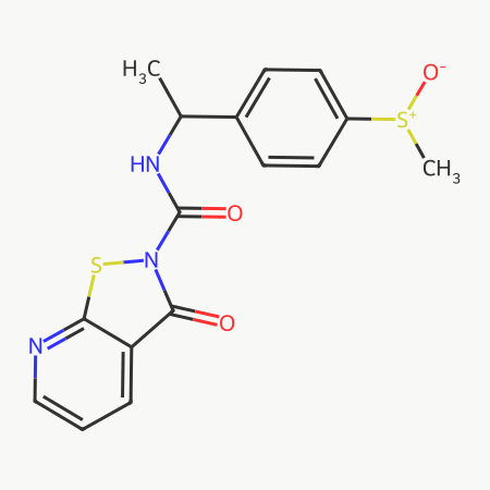 CC(NC(=O)n1sc2ncccc2c1=O)c1ccc([S+](C)[O-])cc1